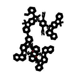 C=Cc1ccccc1-c1c(C)n(-c2cc(C#N)c(-n3c4cc5c(cc4c4c6ccccc6ccc43)C(C)(C)c3ccccc3-5)cc2C#N)c2cc3c(cc12)C(C)(C)c1ccc(-c2ccc4c(c2)c2ccc5c6c7ccccc7ccc6n(-c6cc(C#N)c(-n7c8ccc9ccccc9c8c8ccc9c%10ccccc%10n(-c%10ccccc%10)c9c87)cc6C#N)c5c2n4-c2ccccc2)cc1-3